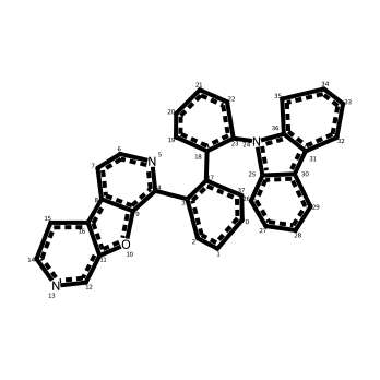 c1ccc(-c2nccc3c2oc2cnccc23)c(-c2ccccc2-n2c3ccccc3c3ccccc32)c1